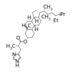 CC[C@H](CC[C@@H](C)[C@H]1CC[C@H]2[C@@H]3CC=C4C[C@@H](OC(=O)C(C)Cc5c[nH]cn5)CC[C@]4(C)[C@H]3CC[C@]12C)C(C)C